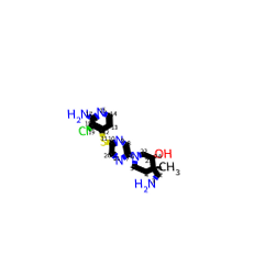 C[C@@]1(CN)CCN(c2cnc(Sc3ccnc(N)c3Cl)cn2)C[C@H]1O